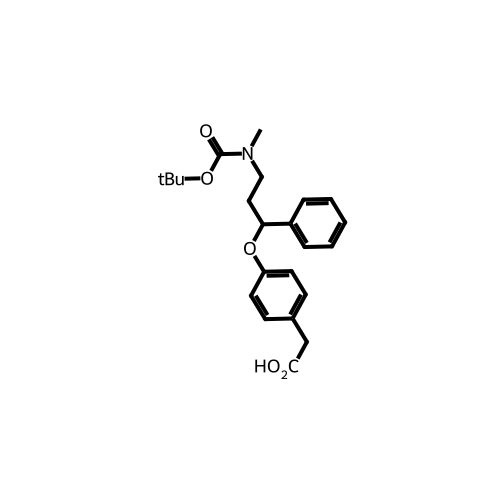 CN(CCC(Oc1ccc(CC(=O)O)cc1)c1ccccc1)C(=O)OC(C)(C)C